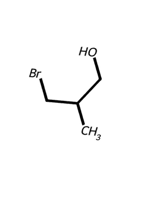 CC(CO)CBr